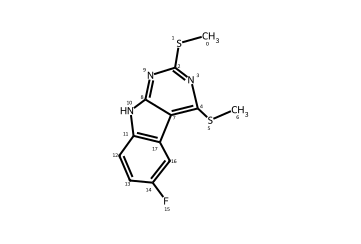 CSc1nc(SC)c2c(n1)[nH]c1[c]cc(F)cc12